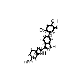 CCCN1[CH]Cc2nc(-c3n[nH]c4cc(-c5cc(F)c(O)cc5CC)ccc34)[nH]c2C1